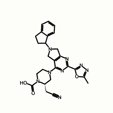 Cc1nnc(-c2nc3c(c(N4CCN(C(=O)O)[C@@H](CC#N)C4)n2)CN(C2CCc4ccccc42)C3)o1